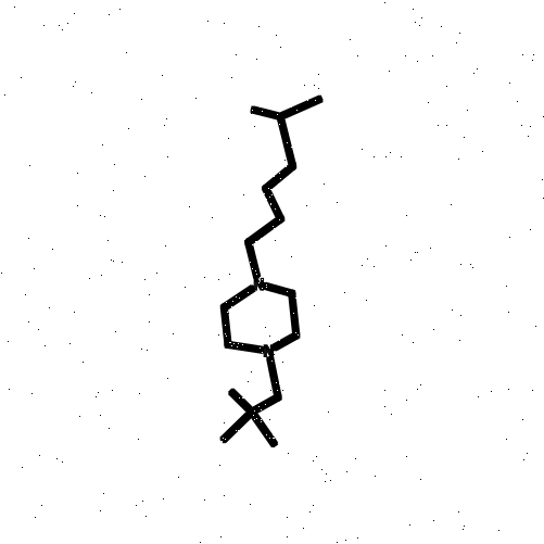 CC(C)CCCCN1CCN(CC(C)(C)C)CC1